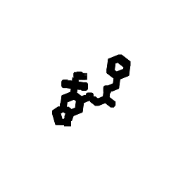 CC(COc1cc2nccn2cc1S(=O)(=O)C(C)(C)C)OCc1ccccc1